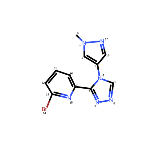 Cn1cc(-n2cnnc2-c2cccc(Br)n2)cn1